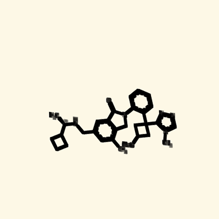 COC1CC(c2ccccc2N2Cc3c(cc(CN[C@H](C)C4CCC4)cc3C(F)(F)F)C2=O)(c2nncn2C)C1